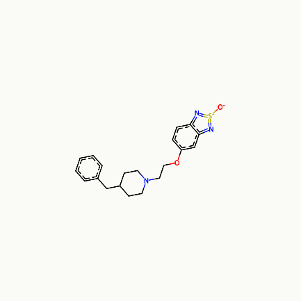 [O-][s+]1nc2ccc(OCCN3CCC(Cc4ccccc4)CC3)cc2n1